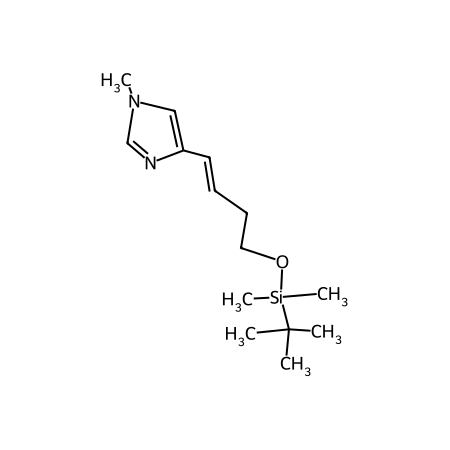 Cn1cnc(C=CCCO[Si](C)(C)C(C)(C)C)c1